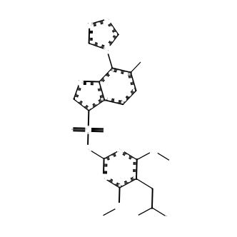 COc1nc(NS(=O)(=O)c2c[nH]c3c(-n4cnnc4)c(Cl)ccc23)nc(OC)c1CC(F)F